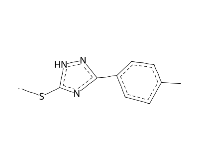 [CH2]Sc1nc(-c2ccc(C)cc2)n[nH]1